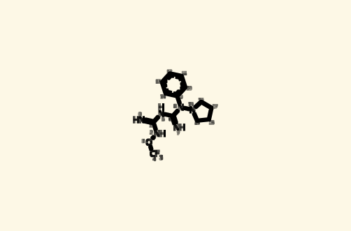 N=C(NOC(F)(F)F)NC(=N)N(c1ccccc1)N1CCCC1